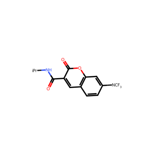 CC(C)NC(=O)c1cc2ccc(NC(F)(F)F)cc2oc1=O